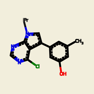 Cc1cc(O)cc(-c2cn(C(C)C)c3ncnc(Cl)c23)c1